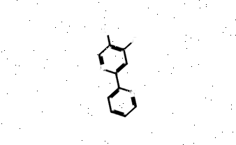 CCc1cc(-c2ccccn2)ncc1Br